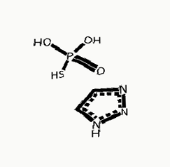 O=P(O)(O)S.c1c[nH]nn1